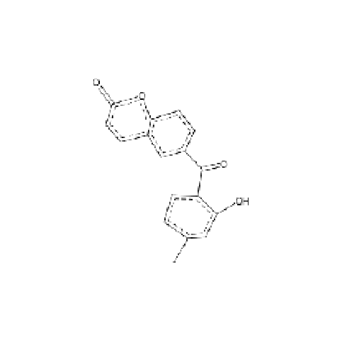 Cc1ccc(C(=O)c2ccc3oc(=O)ccc3c2)c(O)c1